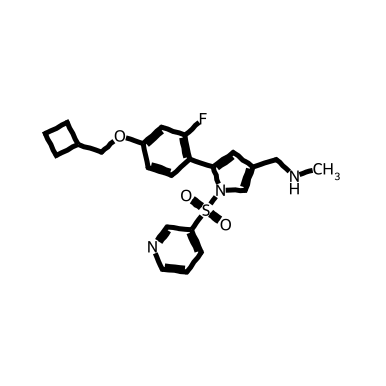 CNCc1cc(-c2ccc(OCC3CCC3)cc2F)n(S(=O)(=O)c2cccnc2)c1